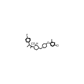 Cc1cc(Cl)ccc1OC1CCN(CC2CCN([C@](C)(C(=O)O)C(C)c3ccc(F)cc3)CC2)CC1